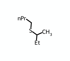 [CH2]CCCSC(C)CC